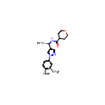 CCOC(=O)C(NC(=O)C1CCOCC1)c1cnn(-c2ccc(OC)c(C(=O)O)c2)c1